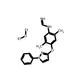 CCOCC.Cc1cc(Oc2ccn(-c3ccccc3)n2)c(C)cc1NC=N